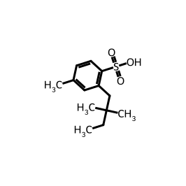 CCC(C)(C)Cc1cc(C)ccc1S(=O)(=O)O